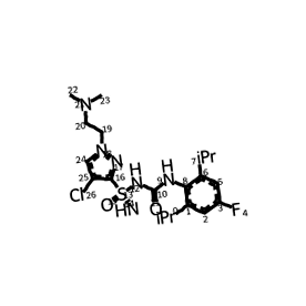 CC(C)c1cc(F)cc(C(C)C)c1NC(=O)NS(=N)(=O)c1nn(CCN(C)C)cc1Cl